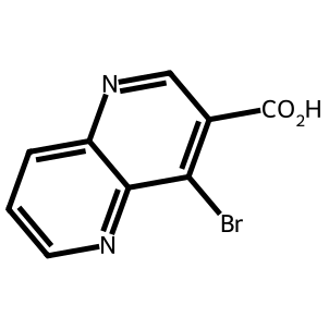 O=C(O)c1cnc2cccnc2c1Br